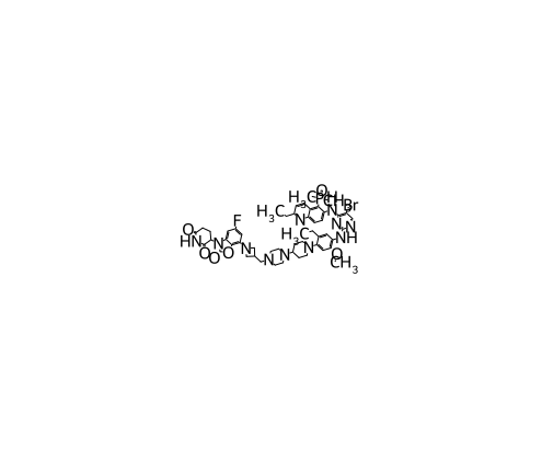 CCc1ccc2c(P(C)(C)=O)c(Nc3nc(Nc4cc(CC)c(N5CCC(N6CCN(CC7CN(c8cc(F)cc9c8oc(=O)n9C8CCC(=O)NC8=O)C7)CC6)CC5)cc4OC)ncc3Br)ccc2n1